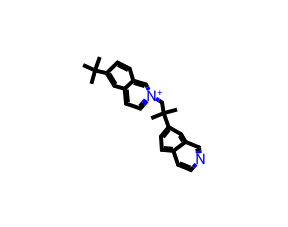 CC(C)(C)c1ccc2c[n+](CC(C)(C)c3ccc4ccncc4c3)ccc2c1